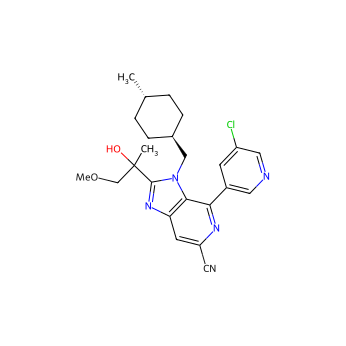 COCC(C)(O)c1nc2cc(C#N)nc(-c3cncc(Cl)c3)c2n1C[C@H]1CC[C@H](C)CC1